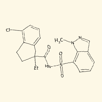 CCC1(C(=O)NS(=O)(=O)c2cccc3cnn(C)c23)CCc2c(Cl)cccc21